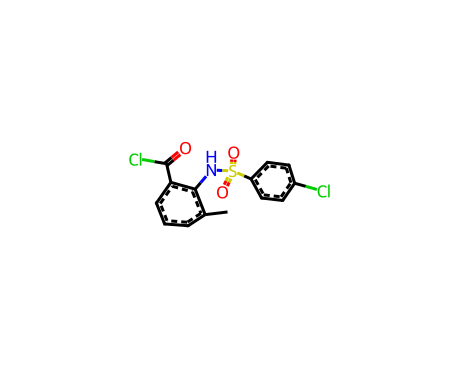 Cc1cccc(C(=O)Cl)c1NS(=O)(=O)c1ccc(Cl)cc1